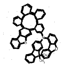 CC1(C)c2ccccc2-c2ccc(N(c3ccc4c5ccccc5c5ccccc5c5ccccc5c5cc6c(cc5c4c3)sc3ccccc36)c3cccc4oc5ccccc5c34)cc21